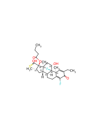 CCCC(=O)O[C@]1(C(O)=S)[C@@H](C)C[C@H]2[C@@H]3CCC4=C(F)C(=O)C(CC)=C[C@]4(C)[C@@]3(F)[C@@H](O)C[C@@]21C